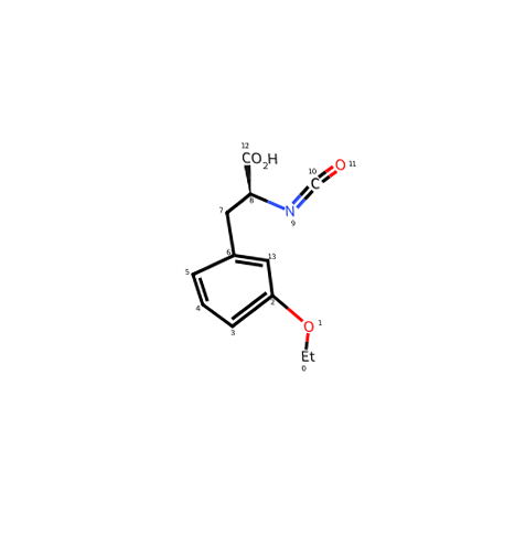 CCOc1cccc(C[C@H](N=C=O)C(=O)O)c1